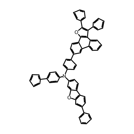 c1ccc(-c2ccc(N(c3ccc(-c4ccc5c(c4)c4ccccc4c4c(-c6ccccc6)c(-c6ccccc6)oc54)cc3)c3ccc4c(c3)oc3cc(-c5ccccc5)ccc34)cc2)cc1